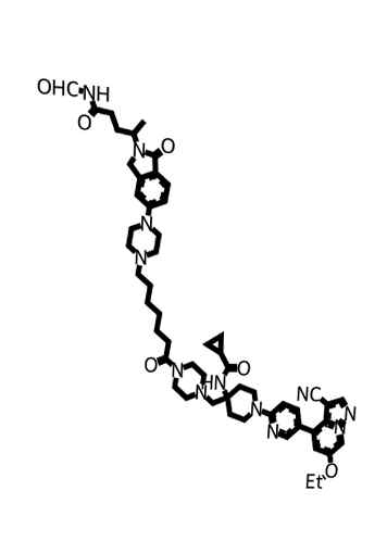 CCOc1cc(-c2ccc(N3CCC(CN4CCN(C(=O)CCCCCCN5CCN(c6ccc7c(c6)CN(C(C)CCC(=O)NC=O)C7=O)CC5)CC4)(NC(=O)C4CC4)CC3)nc2)c2c(C#N)cnn2c1